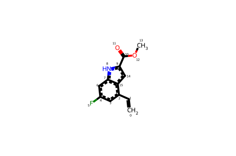 C=Cc1cc(F)cc2[nH]c(C(=O)OC)cc12